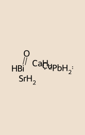 [CaH2].[Cu].[O]=[BiH].[PbH2].[SrH2]